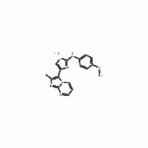 Br.CCOc1ccc(Nc2nc(-c3c(C)nc4ncccn34)cs2)cc1